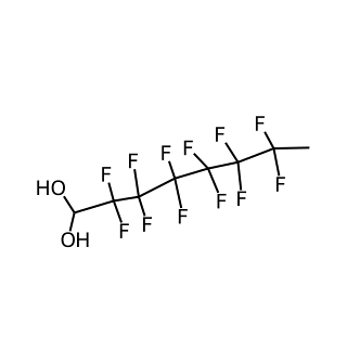 CC(F)(F)C(F)(F)C(F)(F)C(F)(F)C(F)(F)C(F)(F)C(O)O